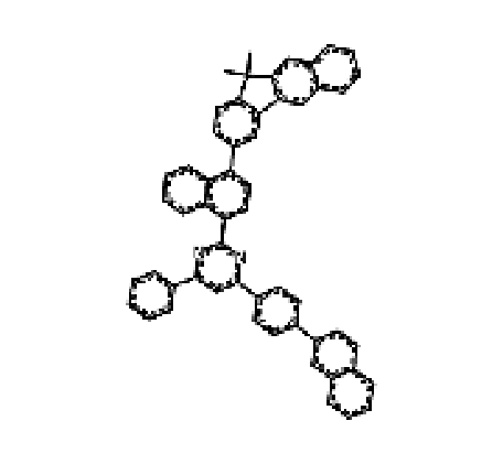 CC1(C)c2ccc(-c3ccc(-c4nc(-c5ccccc5)cc(-c5ccc(-c6ccc7ccccc7c6)cc5)n4)c4ccccc34)cc2-c2cc3ccccc3cc21